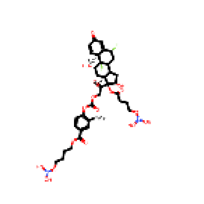 COc1cc(C(=O)OCCCCON(O)O)ccc1OC(=O)OCC(=O)[C@@]1(OC(=O)CCCON(O)O)[C@H](O)CC2C3C[C@H](F)C4=CC(=O)C=C[C@]4(C)[C@@]3(F)[C@@H](O)C[C@@]21C